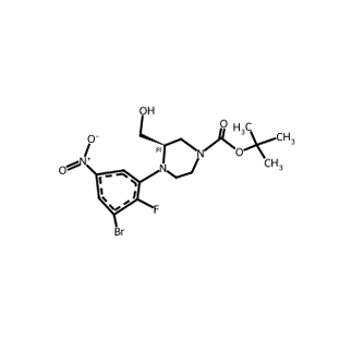 CC(C)(C)OC(=O)N1CCN(c2cc([N+](=O)[O-])cc(Br)c2F)[C@@H](CO)C1